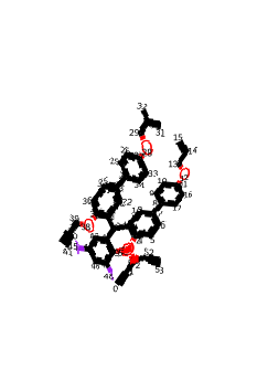 C#CCOc1ccc(-c2ccc(OCC=C)cc2)cc1C(c1cc(-c2ccc(OCC(=C)C)cc2)ccc1OCC#C)c1cc(I)cc(I)c1OCC#C